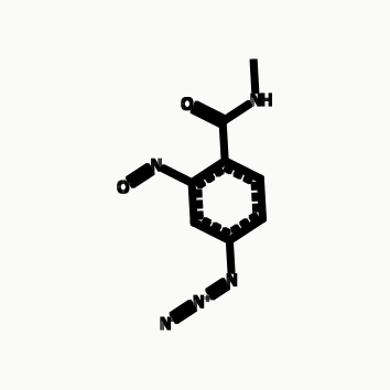 CNC(=O)c1ccc(N=[N+]=[N-])cc1N=O